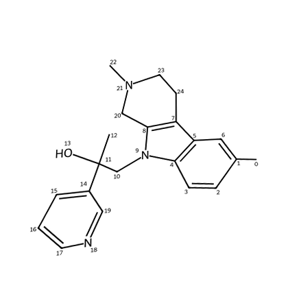 Cc1ccc2c(c1)c1c(n2CC(C)(O)c2cccnc2)CN(C)CC1